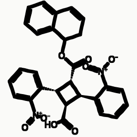 O=C(O)[C@H]1[C@H](c2ccccc2[N+](=O)[O-])[C@H](C(=O)OC2CC=Cc3ccccc32)[C@H]1c1ccccc1[N+](=O)[O-]